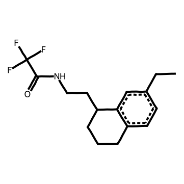 CCc1ccc2c(c1)C(CCNC(=O)C(F)(F)F)CCC2